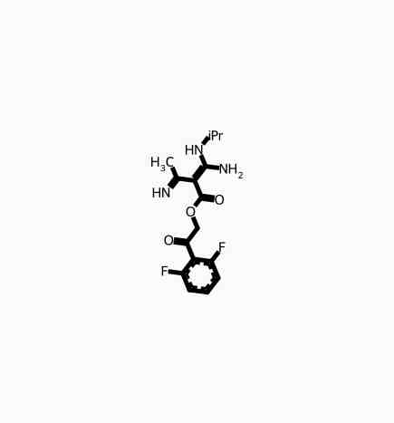 CC(=N)/C(C(=O)OCC(=O)c1c(F)cccc1F)=C(/N)NC(C)C